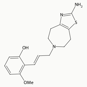 COc1cccc(O)c1C=CCN1CCc2nc(N)sc2CC1